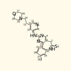 S=C1Cc2cnc(Nc3cncc(CCN4CCOCC4)c3)nc2-c2ccc(I)cc2N1